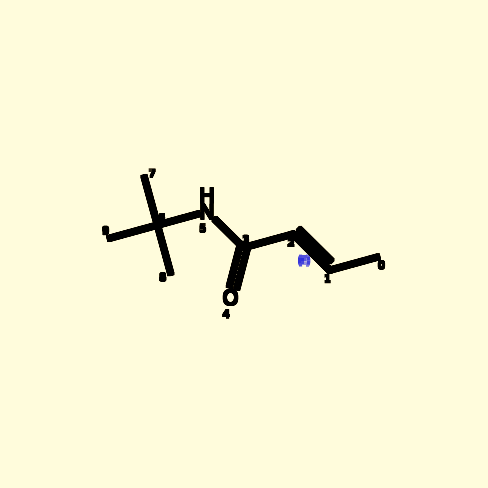 C/C=C/C(=O)NC(C)(C)C